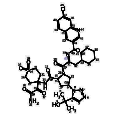 CC(C)(O)c1cnnn1[C@H]1C[C@@H](C(=O)NC2(C(=O)C(N)=O)CCS(=O)(=O)CC2)N(C(=O)/C(CC2CCCCC2)=N/C(=O)c2cnc3cc(Cl)ccc3c2)C1